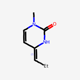 CC/C=C1/C=CN(C)C(=O)N1